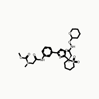 COC(=O)N(C)CC(=O)Nc1cccc(-c2ccc([C@@]3(CC(=O)NOC4CCCCO4)CCCCS3(=O)=O)s2)c1